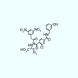 C[C@H](NN(C(=O)Cc1cc([N+](=O)[O-])cc([N+](=O)[O-])c1)C(=O)c1ccc(C(=O)NCc2cccc(O)c2)cc1Cl)C(=O)O